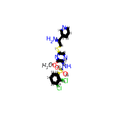 COc1nc(SCC(N)c2cccnc2)cnc1NS(=O)(=O)c1cccc(Cl)c1Cl